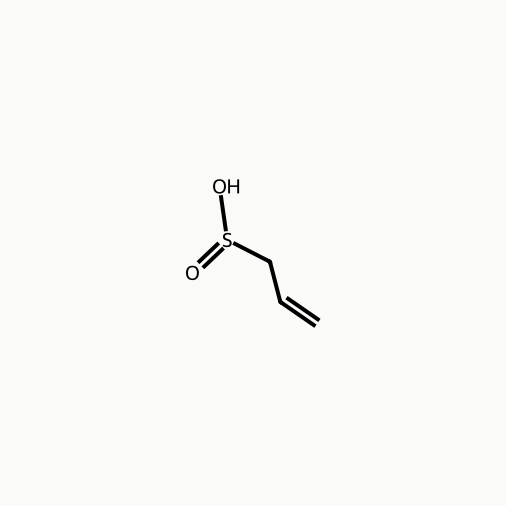 C=CCS(=O)O